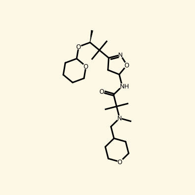 C[C@H](OC1CCCCO1)C(C)(C)C1=NOC(NC(=O)C(C)(C)N(C)CC2CCOCC2)C1